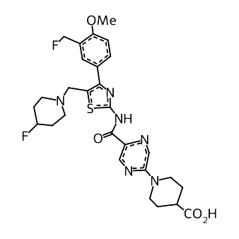 COc1ccc(-c2nc(NC(=O)c3cnc(N4CCC(C(=O)O)CC4)cn3)sc2CN2CCC(F)CC2)cc1CF